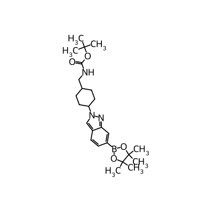 CC(C)(C)OC(=O)NCC1CCC(n2cc3ccc(B4OC(C)(C)C(C)(C)O4)cc3n2)CC1